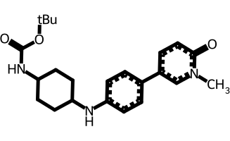 Cn1cc(-c2ccc(NC3CCC(NC(=O)OC(C)(C)C)CC3)cc2)ccc1=O